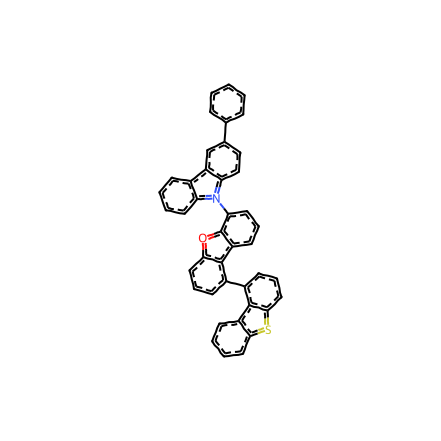 c1ccc(-c2ccc3c(c2)c2ccccc2n3-c2cccc3c2oc2cccc(-c4cccc5sc6ccccc6c45)c23)cc1